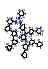 c1ccc(-c2ccc3c(c2)c2cc(-c4ccccc4)ccc2n3-c2cc(N(c3ccc(-c4ccncc4)cc3)c3ccc(-c4nc(-c5ccccc5)nc(-c5ccccc5)n4)cc3)cc(-n3c4ccc(-c5ccccc5)cc4c4cc(-c5ccccc5)ccc43)c2)cc1